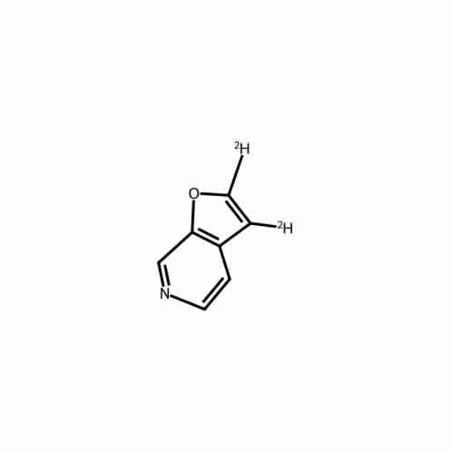 [2H]c1oc2cnccc2c1[2H]